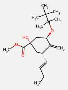 C=C1[C@H](C=CCC)C[C@@](O)(C(=O)OC)C[C@H]1O[Si](C)(C)C(C)(C)C